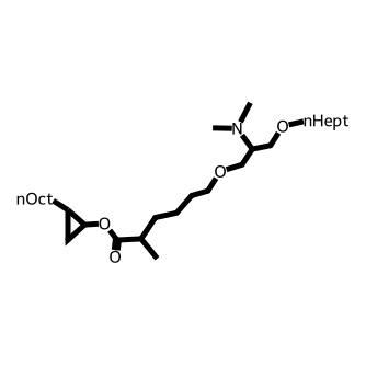 CCCCCCCCC1CC1OC(=O)C(C)CCCCOCC(COCCCCCCC)N(C)C